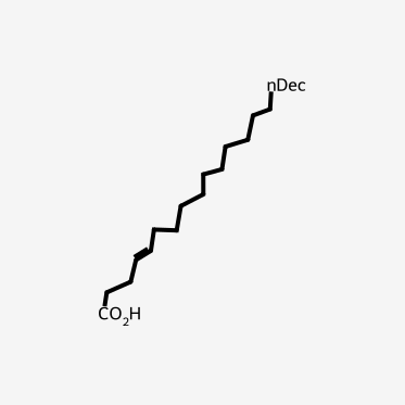 CCCCCCCCCCCCCCCCCCCCC=CCCC(=O)O